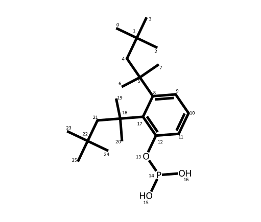 CC(C)(C)CC(C)(C)c1cccc(OP(O)O)c1C(C)(C)CC(C)(C)C